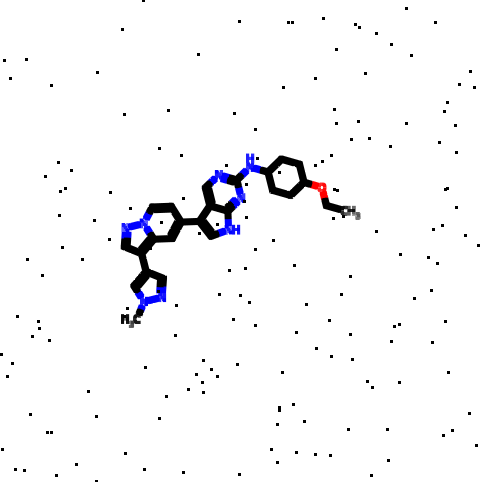 CCOC1CCC(Nc2ncc3c(-c4ccn5ncc(-c6cnn(C)c6)c5c4)c[nH]c3n2)CC1